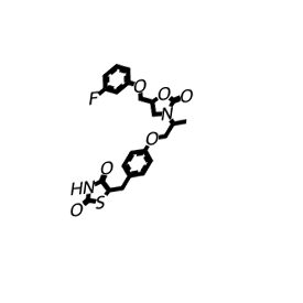 CC(COc1ccc(CC2SC(=O)NC2=O)cc1)N1CC(COc2cccc(F)c2)OC1=O